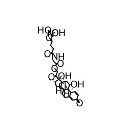 C[C@H]1C[C@H]2[C@@H]3CCC4=CC(=O)C=C[C@]4(C)[C@@]3(Cl)[C@@H](O)C[C@]2(C)[C@@]1(O)C(=O)COC(=O)CNC(=O)CCCON(O)O